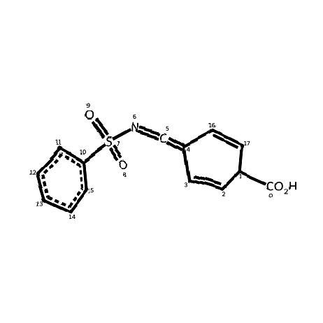 O=C(O)C1C=CC(=C=NS(=O)(=O)c2ccccc2)C=C1